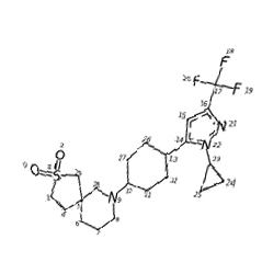 O=S1(=O)CCC2(CCCN(C3CCC(c4cc(C(F)(F)F)nn4C4CC4)CC3)C2)C1